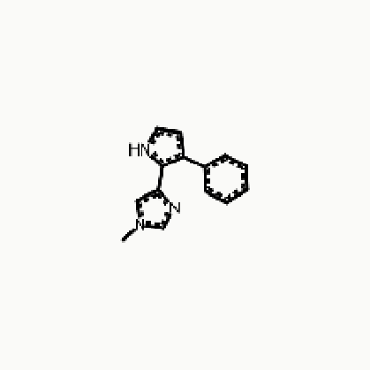 Cn1cnc(-c2[nH]ccc2-c2ccccc2)c1